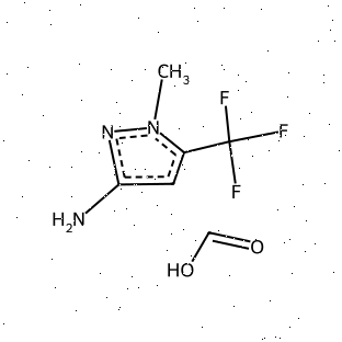 Cn1nc(N)cc1C(F)(F)F.O=CO